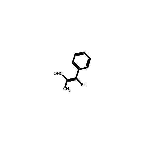 CC/C(=C(\C)C=O)c1ccccc1